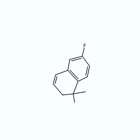 CC1(C)CC=Cc2cc(F)ccc21